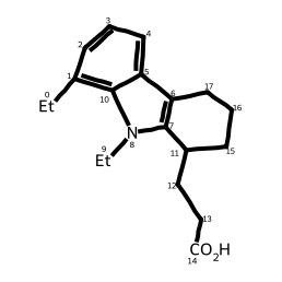 CCc1cccc2c3c(n(CC)c12)C(CCC(=O)O)CCC3